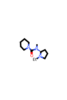 CCN1CCC[C@@H]1N(C)C(=O)N1CC[CH]CC1